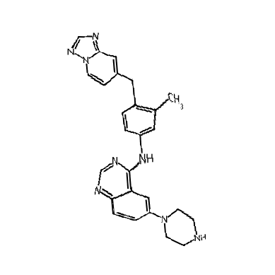 Cc1cc(Nc2ncnc3ccc(N4CCNCC4)cc23)ccc1Cc1ccn2ncnc2c1